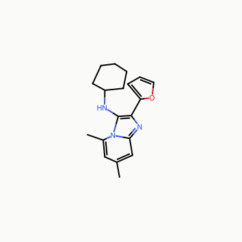 Cc1cc(C)n2c(NC3CCCCC3)c(-c3ccco3)nc2c1